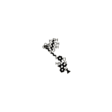 CS(=O)(=O)CCCN(CCCCSc1ccc(Cl)c(CNC2(c3cnccc3-c3ccccc3OC3CC3)CC2)c1)C(=O)[C@@H](O)[C@@H](O)[C@H](O)[C@@H](O)CO